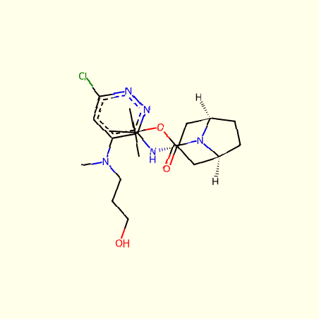 CN(CCCO)c1cc(Cl)nnc1N[C@@H]1C[C@H]2CC[C@@H](C1)N2C(=O)OC(C)(C)C